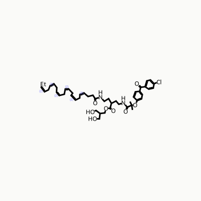 CC/C=C\C/C=C\C/C=C\C/C=C\C/C=C\C/C=C\CCC(=O)NCCC(CCNC(=O)C(C)(C)Oc1ccc(C(=O)c2ccc(Cl)cc2)cc1)C(=O)OCC(CO)CO